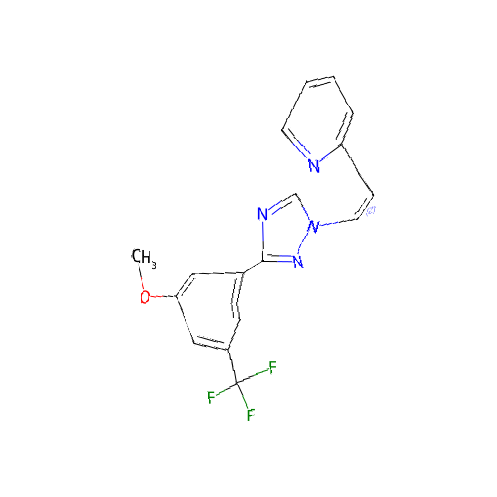 COc1cc(-c2ncn(/C=C\c3ccccn3)n2)cc(C(F)(F)F)c1